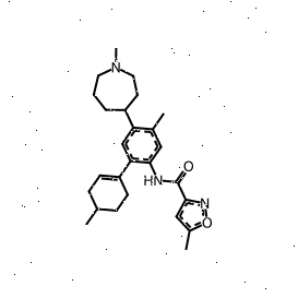 Cc1cc(C(=O)Nc2cc(C)c(C3CCCN(C)CC3)cc2C2=CCC(C)CC2)no1